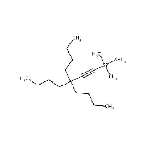 CCCCC(C#C[Si](C)(C)[SnH3])(CCCC)CCCC